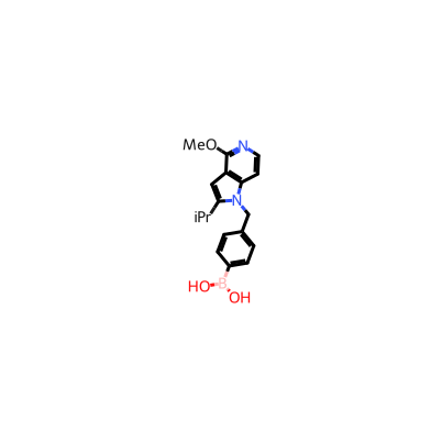 COc1nccc2c1cc(C(C)C)n2Cc1ccc(B(O)O)cc1